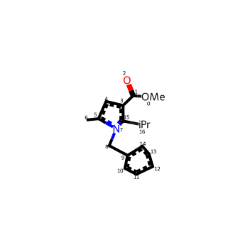 COC(=O)c1cc(C)n(Cc2ccccc2)c1C(C)C